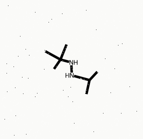 CC(C)NNC(C)(C)C